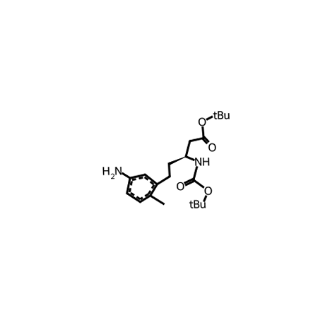 Cc1ccc(N)cc1CC[C@@H](CC(=O)OC(C)(C)C)NC(=O)OC(C)(C)C